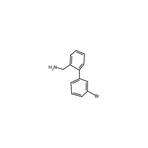 NCc1cc[c]cc1-c1cccc(Br)c1